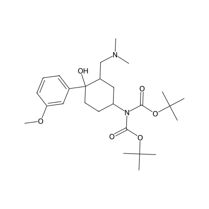 COc1cccc(C2(O)CCC(N(C(=O)OC(C)(C)C)C(=O)OC(C)(C)C)CC2CN(C)C)c1